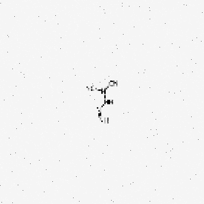 N#CN(C#N)NN=N